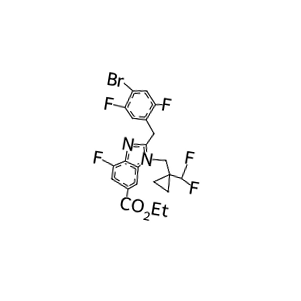 CCOC(=O)c1cc(F)c2nc(Cc3cc(F)c(Br)cc3F)n(CC3(C(F)F)CC3)c2c1